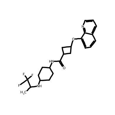 CC(NC1CCC(NC(=O)C2CC(Oc3cccc4cccnc34)C2)CC1)C(F)(F)F